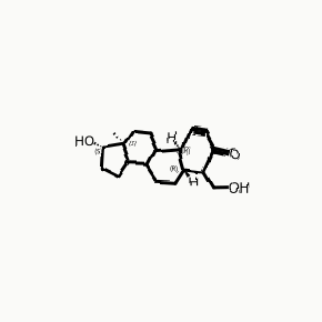 C[C@]12CCC3C(CC[C@H]4C(CO)C(=O)C=C[C@H]34)C1CC[C@@H]2O